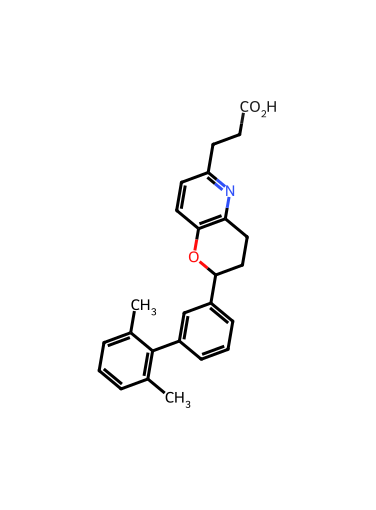 Cc1cccc(C)c1-c1cccc(C2CCc3nc(CCC(=O)O)ccc3O2)c1